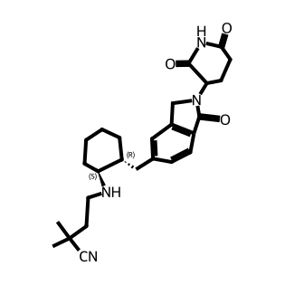 CC(C)(C#N)CCN[C@H]1CCCC[C@@H]1Cc1ccc2c(c1)CN(C1CCC(=O)NC1=O)C2=O